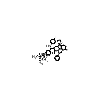 CC(C)(C)[Si](C)(C)Oc1ccc([C@H](Nc2ccc(F)cc2)[C@@H](CCC2(c3ccc(F)cc3)OCCO2)C(=O)N2C(=O)OC[C@@H]2c2ccccc2)cc1